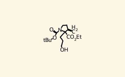 C=C1CCN(C(=O)OC(C)(C)C)C1(CCCO)C(=O)OCC